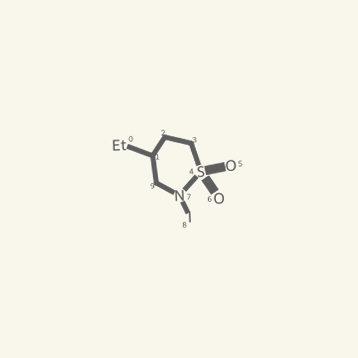 CCC1CCS(=O)(=O)N(I)C1